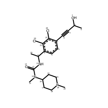 CC(O)C#Cc1ccc(C(C)NC(=O)N(C)C2CCN(C)CC2)c(Cl)c1Cl